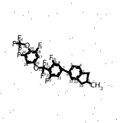 CC1Cc2ccc(-c3cc(F)c(C(F)(F)Oc4cc(F)c(OC(F)(F)F)c(F)c4)c(F)c3)cc2C1